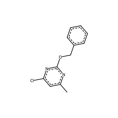 Cc1cc(Cl)nc(OCc2ccccc2)n1